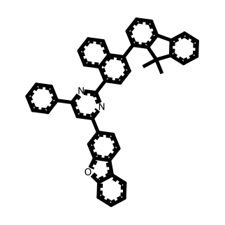 CC1(C)c2ccccc2-c2cccc(-c3ccc(-c4nc(-c5ccccc5)cc(-c5ccc6c(c5)oc5ccccc56)n4)c4ccccc34)c21